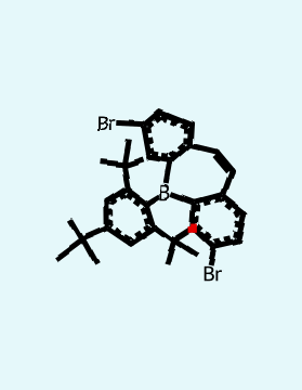 CC(C)(C)c1cc(C(C)(C)C)c(B2c3cc(Br)ccc3C=Cc3ccc(Br)cc32)c(C(C)(C)C)c1